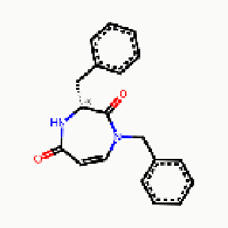 O=C1C=CN(Cc2ccccc2)C(=O)[C@@H](Cc2ccccc2)N1